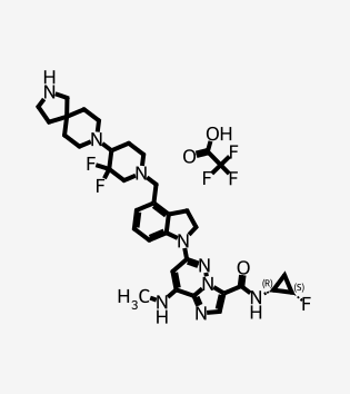 CNc1cc(N2CCc3c(CN4CCC(N5CCC6(CCNC6)CC5)C(F)(F)C4)cccc32)nn2c(C(=O)N[C@@H]3C[C@@H]3F)cnc12.O=C(O)C(F)(F)F